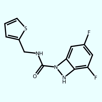 O=C(NCc1cccs1)n1[nH]c2c(F)cc(F)cc21